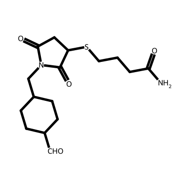 NC(=O)CCCSC1CC(=O)N(CC2CCC(C=O)CC2)C1=O